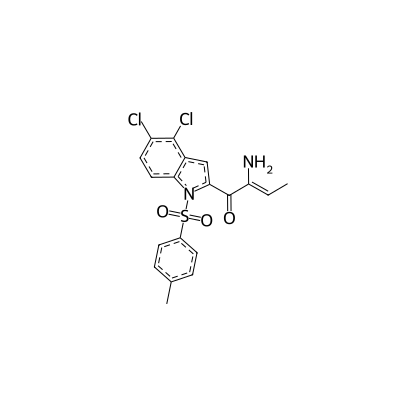 C/C=C(\N)C(=O)c1cc2c(Cl)c(Cl)ccc2n1S(=O)(=O)c1ccc(C)cc1